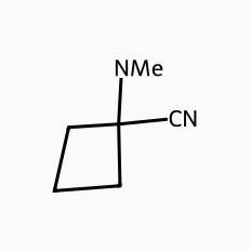 CNC1(C#N)CCC1